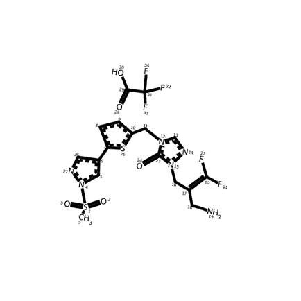 CS(=O)(=O)n1cc(-c2ccc(Cn3cnn(CC(CN)=C(F)F)c3=O)s2)cn1.O=C(O)C(F)(F)F